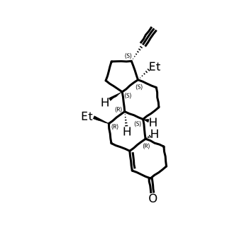 C#C[C@H]1CC[C@H]2[C@@H]3[C@H](CC)CC4=CC(=O)CC[C@@H]4[C@H]3CC[C@]12CC